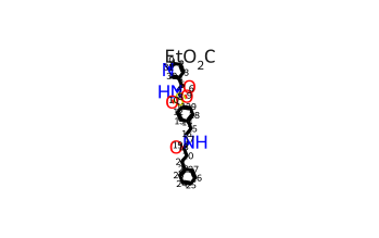 CCOC(=O)c1ccc(C(=O)NS(=O)(=O)c2ccc(CCNC(=O)CCc3ccccc3)cc2)cn1